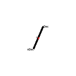 CCCCCCCCCCCCCCCCCCCCCCCCOCCCCCCCCCCCCCCCCCCCCCCCC.[V]